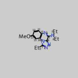 CCc1nnc2c(N(CC)CC)nc3ccc(OC)cc3n12